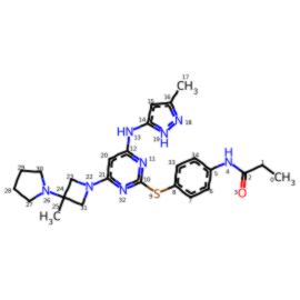 CCC(=O)Nc1ccc(Sc2nc(Nc3cc(C)n[nH]3)cc(N3CC(C)(N4CCCC4)C3)n2)cc1